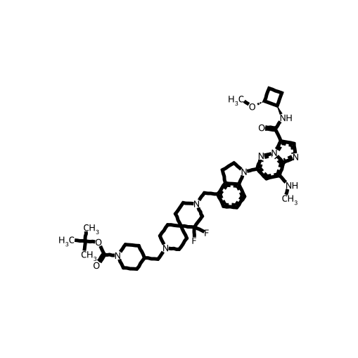 CNc1cc(N2CCc3c(CN4CCC5(CCN(CC6CCN(C(=O)OC(C)(C)C)CC6)CC5)C(F)(F)C4)cccc32)nn2c(C(=O)N[C@@H]3CC[C@H]3OC)cnc12